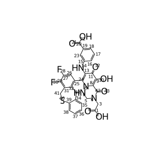 O=C(O)CN1CNn2c(c(O)c(=O)c(Nc3cccc(C(=O)O)c3)c2-c2cc(F)c(F)c3c2Cc2ccccc2SC3)C1=O